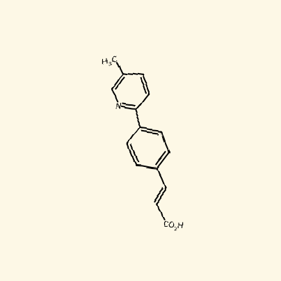 Cc1ccc(-c2ccc(C=CC(=O)O)cc2)nc1